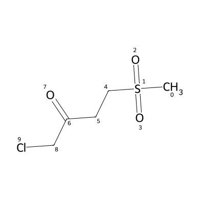 CS(=O)(=O)CCC(=O)CCl